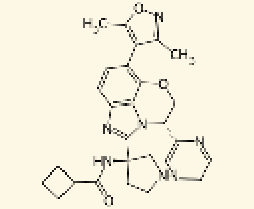 Cc1noc(C)c1-c1ccc2nc([C@@]3(NC(=O)C4CCC4)CCNC3)n3c2c1OC[C@@H]3c1ccccn1